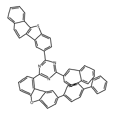 c1ccc(-c2ccc(-c3ccc4oc5cccc(-c6nc(-c7ccc8ccccc8c7)nc(-c7ccc8sc9c%10ccccc%10ccc9c8c7)n6)c5c4c3)cc2)cc1